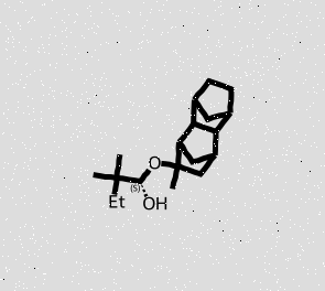 CCC(C)(C)[C@@H](O)OC1(C)CC2CC1C1C3CCC(C3)C21